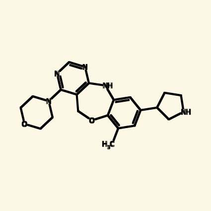 Cc1cc(C2CCNC2)cc2c1OCc1c(ncnc1N1CCOCC1)N2